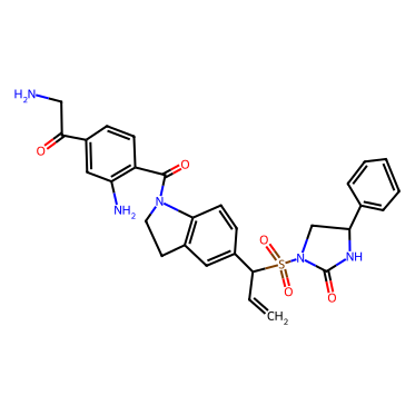 C=CC(c1ccc2c(c1)CCN2C(=O)c1ccc(C(=O)CN)cc1N)S(=O)(=O)N1CC(c2ccccc2)NC1=O